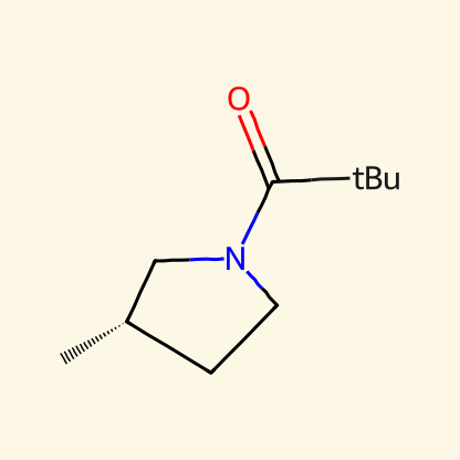 C[C@H]1CCN(C(=O)C(C)(C)C)C1